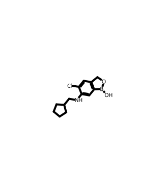 OB1OCc2cc(Cl)c(NCC3CCCC3)cc21